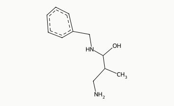 CC(CN)C(O)NCc1ccccc1